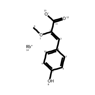 CO/C(=C\c1ccc(O)cc1)C(=O)[O-].[Rb+]